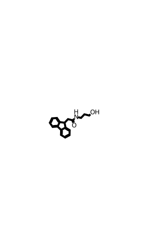 O=C(CC1c2ccccc2-c2ccccc21)NCCCO